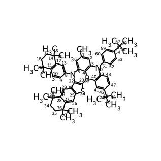 Cc1cc2c3c(c1)N(c1ccc4c(c1)C(C)(C)CCC4(C)C)c1c(sc4cc5c(cc14)C(C)(C)CCC5(C)C)B3c1cc(C(C)(C)C)ccc1N2c1ccc(C(C)(C)C)cc1